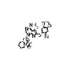 CS(=O)(=O)N1CCCCC1CCn1cnc(N)c2nc(Sc3cc4c(cc3Br)OCCO4)nc1-2